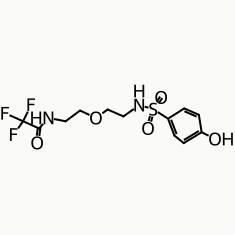 O=C(NCCOCCNS(=O)(=O)c1ccc(O)cc1)C(F)(F)F